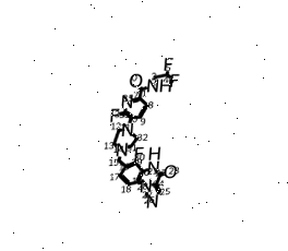 O=C(NCC(F)F)c1ccc(N2CCN(Cc3ccc4c([nH]c(=O)c5cncn54)c3F)CC2)c(F)n1